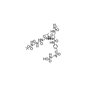 CC(C)[C@H](NC(=O)CNC(=O)CNC(=O)CNC(=O)OC(C)(C)C)C(=O)N[C@@H](CCCNC(N)=O)C(=O)Nc1ccc(COC(=O)N(C)CCNC(=O)O)cc1